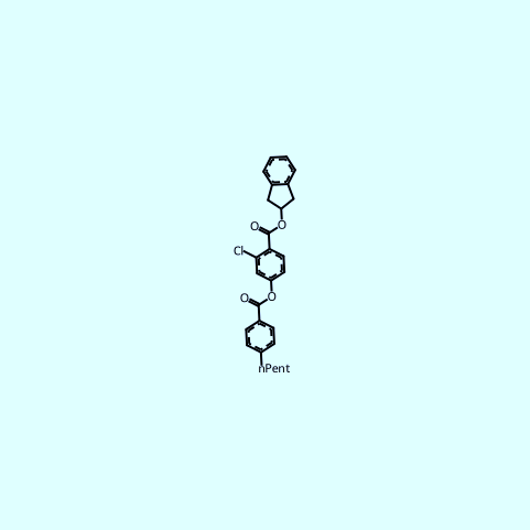 CCCCCc1ccc(C(=O)Oc2ccc(C(=O)OC3Cc4ccccc4C3)c(Cl)c2)cc1